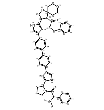 CN(C)C(C(=O)N1CCCC1c1nc(-c2ccc(-c3ccc(-c4c[nH]c(C5COC6(CCOCC6)N5C(=O)OCc5ccccc5)n4)cc3)cc2)c[nH]1)c1ccccc1